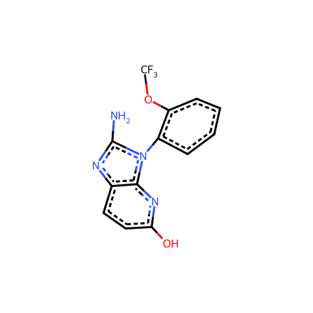 Nc1nc2ccc(O)nc2n1-c1ccccc1OC(F)(F)F